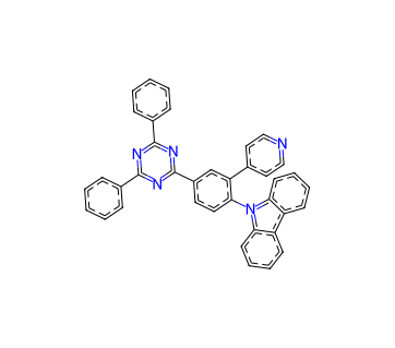 c1ccc(-c2nc(-c3ccccc3)nc(-c3ccc(-n4c5ccccc5c5ccccc54)c(-c4ccncc4)c3)n2)cc1